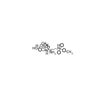 Cc1ccc(C(NCCCC[C@H](N)C(=O)N[C@@H](Cc2ccc(O)cc2)C(=O)OC(C)(C)C)(c2ccccc2)c2ccccc2)cc1